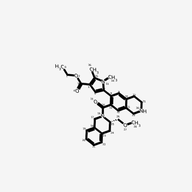 CCOC(=O)c1cc(-c2cc3c(cc2C(=O)N2Cc4ccccc4C[C@H]2COC)CNCC3)n(C)c1C